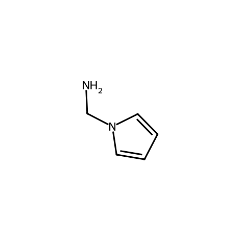 NCn1cccc1